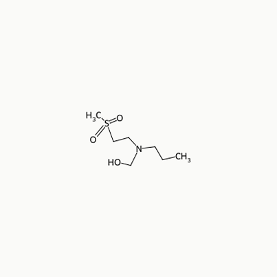 CCCN(CO)CCS(C)(=O)=O